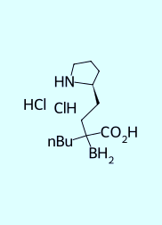 BC(CCCC)(CC[C@@H]1CCCN1)C(=O)O.Cl.Cl